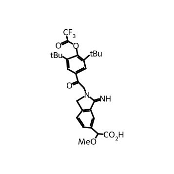 COC(C(=O)O)c1ccc2c(c1)C(=N)N(CC(=O)c1cc(C(C)(C)C)c(OC(=O)C(F)(F)F)c(C(C)(C)C)c1)C2